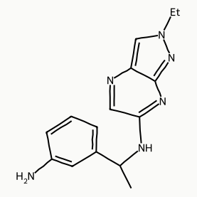 CCn1cc2ncc(NC(C)c3cccc(N)c3)nc2n1